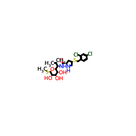 CS[C@H]1O[C@H]([C@H](NC(=O)[C@@H]2C[C@H](SCc3ccc(Cl)cc3Cl)CN2)C(C)C)[C@H](O)[C@H](O)[C@H]1O